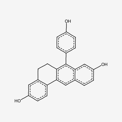 Oc1ccc(-c2c3c(cc4ccc(O)cc24)-c2ccc(O)cc2CC3)cc1